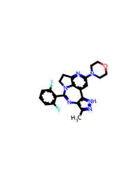 Cc1n[nH]c2c1N=C(c1c(F)cccc1F)N1CCc3nc(N4CCOCC4)cc-2c31